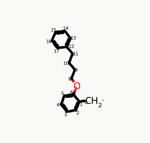 [CH2]c1ccccc1OCCCCc1ccccc1